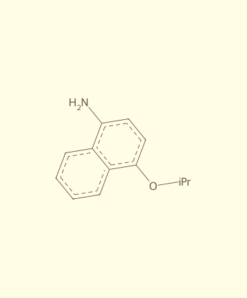 CC(C)Oc1ccc(N)c2ccccc12